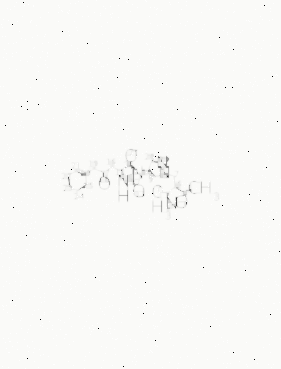 Cc1noc(C)c1Cn1cc(N2C(=O)NC(CC(=O)Cc3ccccc3)C2=O)cn1